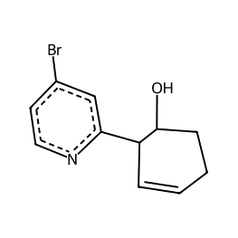 OC1CCC=CC1c1cc(Br)ccn1